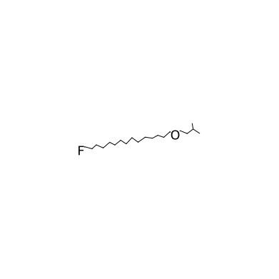 CC(C)CCOCCCCCCCCCCCCCCCF